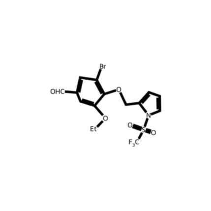 CCOc1cc(C=O)cc(Br)c1OCc1cccn1S(=O)(=O)C(F)(F)F